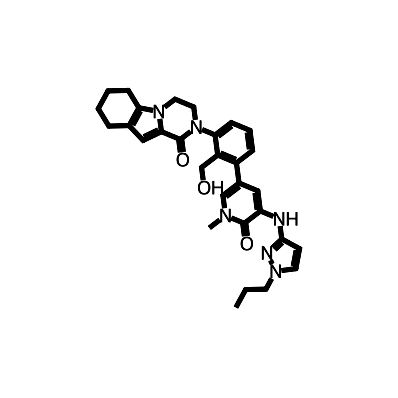 CCCn1ccc(Nc2cc(-c3cccc(N4CCn5c(cc6c5CCCC6)C4=O)c3CO)cn(C)c2=O)n1